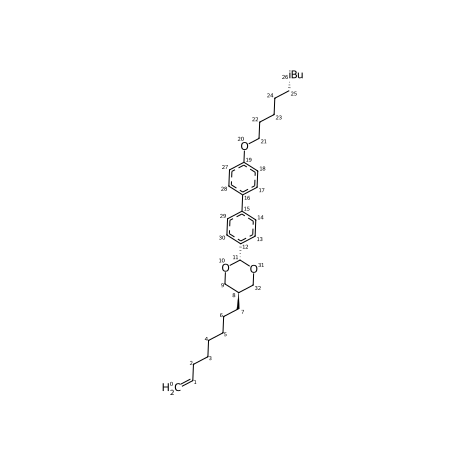 C=CCCCCCC[C@H]1CO[C@H](c2ccc(-c3ccc(OCCCCC[C@@H](C)CC)cc3)cc2)OC1